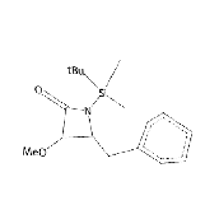 COC1C(=O)N([Si](C)(C)C(C)(C)C)C1Cc1ccccc1